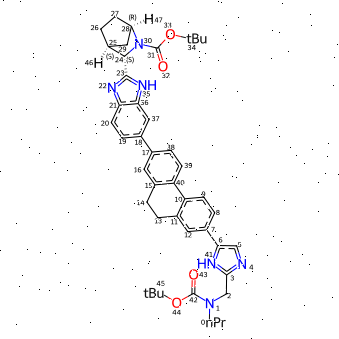 CCCN(Cc1ncc(-c2ccc3c(c2)CCc2cc(-c4ccc5nc([C@@H]6[C@H]7CC[C@H](C7)N6C(=O)OC(C)(C)C)[nH]c5c4)ccc2-3)[nH]1)C(=O)OC(C)(C)C